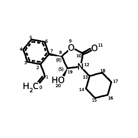 C=Cc1ccccc1[C@H]1OC(=O)N(C2CCCCC2)[C@H]1O